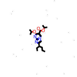 CCCC(CC)c1cn2cc(C(=O)OC(C)C)c(OC(C)C)nc2n1